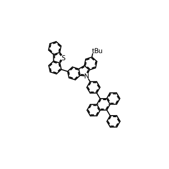 CC(C)(C)c1ccc2c(c1)c1cc(-c3cccc4c3sc3ccccc34)ccc1n2-c1ccc(-c2c3ccccc3c(-c3ccccc3)c3ccccc23)cc1